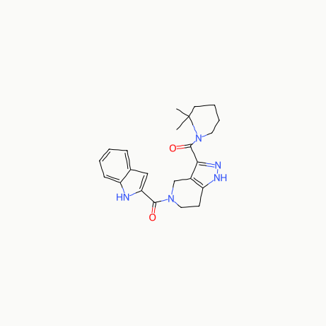 CC1(C)CCCCN1C(=O)c1n[nH]c2c1CN(C(=O)c1cc3ccccc3[nH]1)CC2